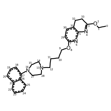 CCOC1=Nc2nc(OCCCCN3CCN(c4cccc5ccccc45)CC3)ccc2CC1